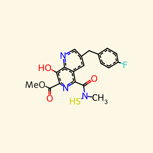 COC(=O)c1nc(C(=O)N(C)S)c2cc(Cc3ccc(F)cc3)cnc2c1O